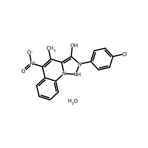 CC1=C([N+](=O)[O-])c2ccccc2N2NN(c3ccc(Cl)cc3)C(O)=C12.O